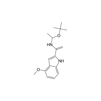 C=C(NC(C)OC(C)(C)C)c1cc2c(OC)cccc2[nH]1